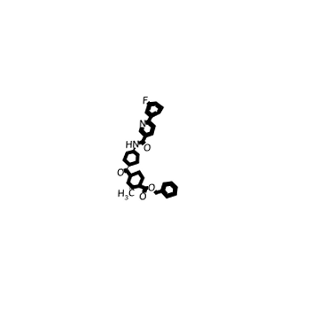 C[C@H]1CC(C(=O)[C@H]2CC[C@H](NC(=O)c3ccc(-c4cccc(F)c4)nc3)CC2)CCC1C(=O)OCc1ccccc1